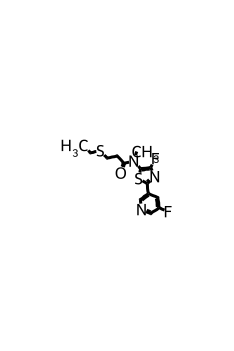 CCSCCC(=O)N(C)c1sc(-c2cncc(F)c2)nc1F